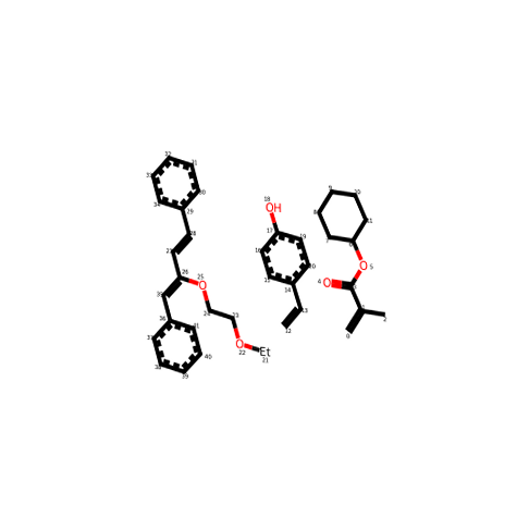 C=C(C)C(=O)OC1CCCCC1.C=Cc1ccc(O)cc1.CCOCCOC(C=Cc1ccccc1)=Cc1ccccc1